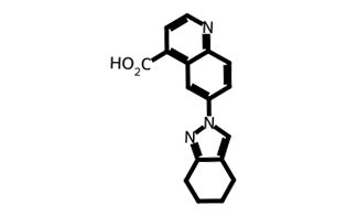 O=C(O)c1ccnc2ccc(-n3cc4c(n3)CCCC4)cc12